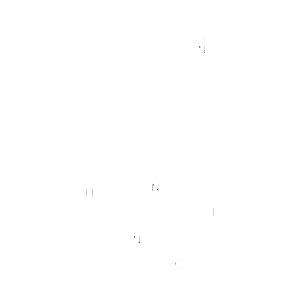 Cc1nc(Cl)c(Cl)n1CCC1CCNCC1